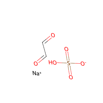 O=CC=O.O=S(=O)([O-])O.[Na+]